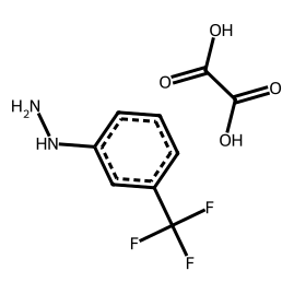 NNc1cccc(C(F)(F)F)c1.O=C(O)C(=O)O